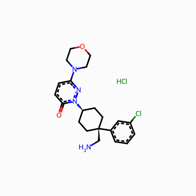 Cl.NC[C@]1(c2cccc(Cl)c2)CC[C@H](n2nc(N3CCOCC3)ccc2=O)CC1